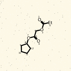 [CH2]CC(=O)OCC(=O)OC1CCCC1